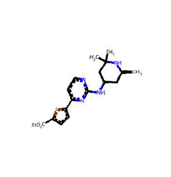 C=C1CC(Nc2nccc(-c3ccc(C(=O)OCC)s3)n2)CC(C)(C)N1